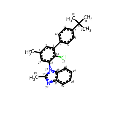 Cc1cc(-c2ccc(C(C)(C)C)cc2)c(Cl)c(-n2c(C)nc3ccccc32)c1